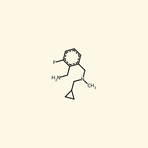 CN(Cc1cccc(F)c1CN)CC1CC1